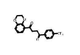 O=C(CCC(=O)c1cccc2c1OCCO2)c1ccc(C(F)(F)F)cc1